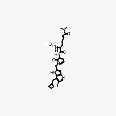 CN(C)C(=O)/C=C/CCC(NC(=O)O)C(=O)Nc1cccn(Cc2cc3ncc(F)c(CC4CCC4)c3[nH]2)c1=O